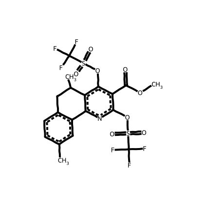 COC(=O)c1c(OS(=O)(=O)C(F)(F)F)nc2c(c1OS(=O)(=O)C(F)(F)F)C(C)Cc1ccc(C)cc1-2